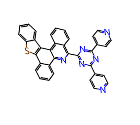 c1ccc2c(c1)sc1c3ccccc3c3nc(-c4nc(-c5ccncc5)nc(-c5ccncc5)n4)c4ccccc4c3c21